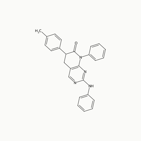 Cc1ccc(C2Cc3cnc(Nc4ccccc4)nc3N(c3ccccc3)C2=O)cc1